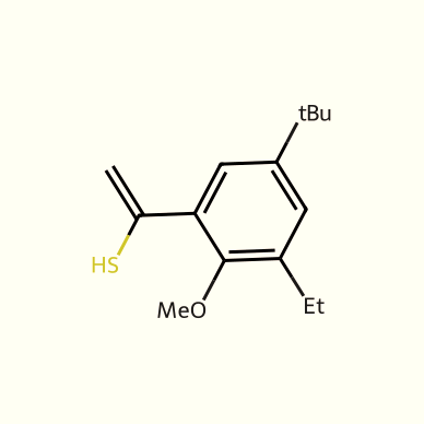 C=C(S)c1cc(C(C)(C)C)cc(CC)c1OC